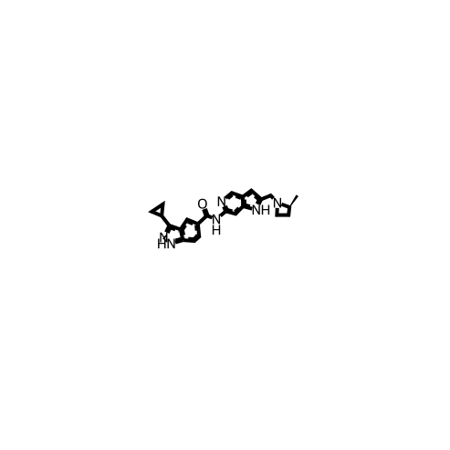 C[C@H]1CCN1Cc1cc2cnc(NC(=O)c3ccc4[nH]nc(C5CC5)c4c3)cc2[nH]1